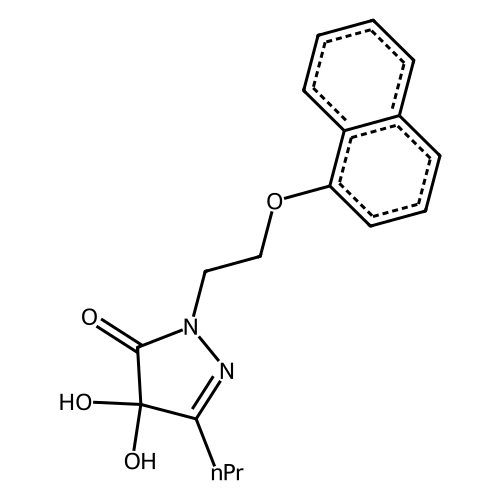 CCCC1=NN(CCOc2cccc3ccccc23)C(=O)C1(O)O